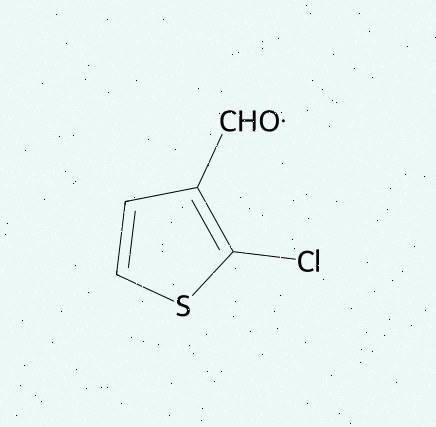 O=[C]c1ccsc1Cl